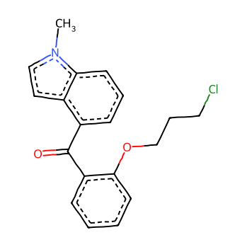 Cn1ccc2c(C(=O)c3ccccc3OCCCCl)cccc21